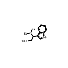 CCN(C(C)C)C(CC(=O)O)c1c[nH]c2ccccc12